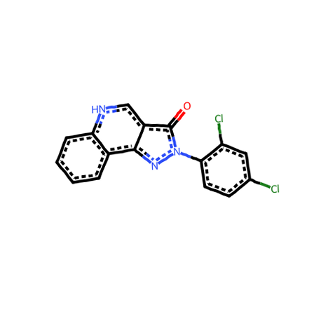 O=c1c2c[nH]c3ccccc3c-2nn1-c1ccc(Cl)cc1Cl